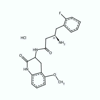 COc1cccc2c1CC(NC(=O)C[C@H](N)Cc1ccccc1F)C(=O)N2.Cl